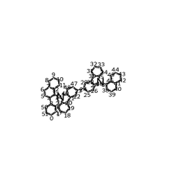 c1ccc(-c2ccc3ccccc3c2-n2c3ccccc3c3cc(-c4ccc5c(c4)c4ccccc4n5-c4cccc5ccccc45)ccc32)cc1